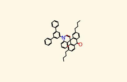 CCCCc1ccc2c(c1)C1(c3cc(CCCC)ccc3C2=O)c2ccccc2N(c2cc(-c3ccccc3)cc(-c3ccccc3)c2)c2ccccc21